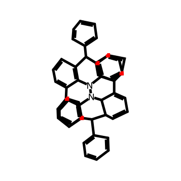 C1=CC(C(c2ccccc2)c2ccccc2)C2C(=C1)c1ccccc1N1c3c(cccc3C(c3ccccc3)c3ccccc3)-c3ccccc3N21